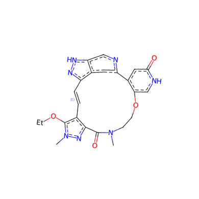 CCOc1c2c(nn1C)C(=O)N(C)CCOc1c[nH]c(=O)cc1-c1cc3c(n[nH]c3cn1)/C=C/2